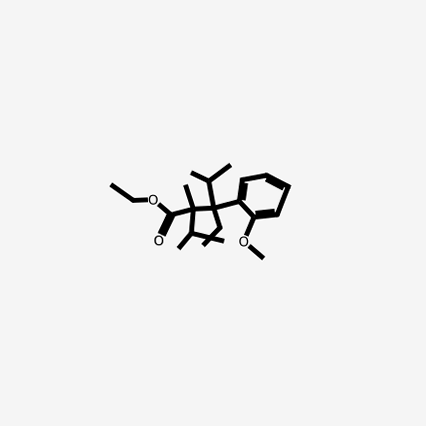 CCOC(=O)C(C)(C(C)C)C(CC)(c1ccccc1OC)C(C)C